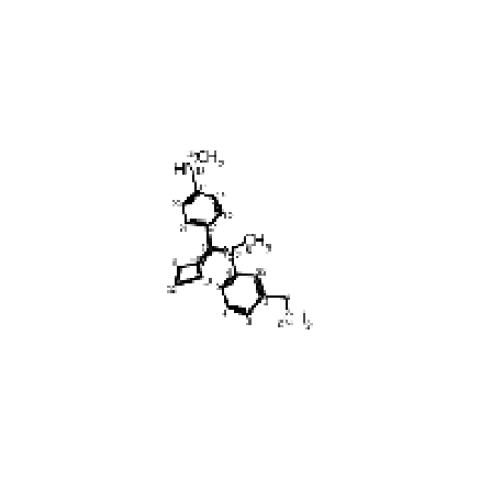 CCc1cccc(N(C)C(=C2CCC2)c2ccc(NC)cc2)c1